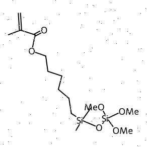 C=C(C)C(=O)OCCCCCC[Si](C)(C)O[Si](OC)(OC)OC